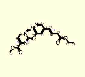 C=N/C(=N\C(=C/C)C(=O)OC)Oc1cncc(/C=C/CC(=O)OCC)c1